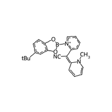 CN1C=CC=C/C1=C(\C#N)c1cccc[n+]1B1Oc2ccc(C(C)(C)C)cc2O1